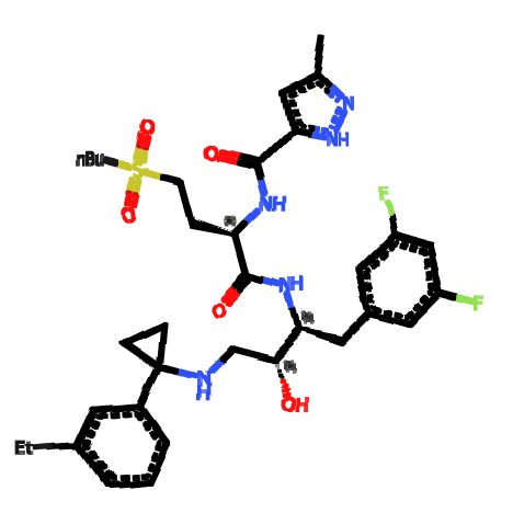 CCCCS(=O)(=O)CC[C@@H](NC(=O)c1cc(C)n[nH]1)C(=O)N[C@@H](Cc1cc(F)cc(F)c1)[C@H](O)CNC1(c2cccc(CC)c2)CC1